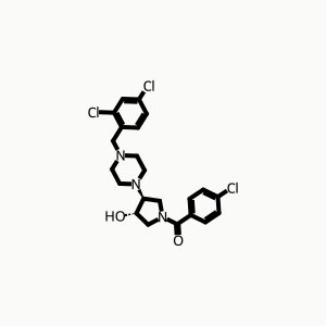 O=C(c1ccc(Cl)cc1)N1C[C@H](O)[C@@H](N2CCN(Cc3ccc(Cl)cc3Cl)CC2)C1